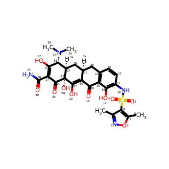 Cc1noc(C)c1S(=O)(=O)Nc1ccc2c(c1O)C(=O)C1=C(O)[C@@]3(O)C(=O)C(C(N)=O)=C(O)[C@H](N(C)C)[C@H]3C[C@H]1C2